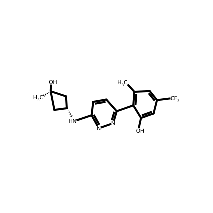 Cc1cc(C(F)(F)F)cc(O)c1-c1ccc(N[C@H]2C[C@](C)(O)C2)nn1